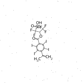 C=C(C)c1c(I)c(I)c(C(=O)OC(C(F)(F)F)C(F)(F)S(=O)(=O)O)c(I)c1I